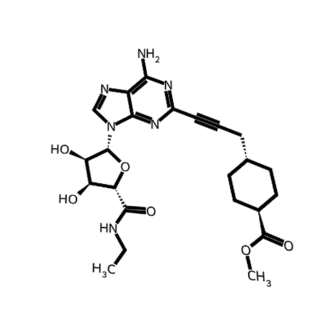 CCNC(=O)[C@H]1O[C@@H](n2cnc3c(N)nc(C#CC[C@H]4CC[C@H](C(=O)OC)CC4)nc32)[C@H](O)[C@@H]1O